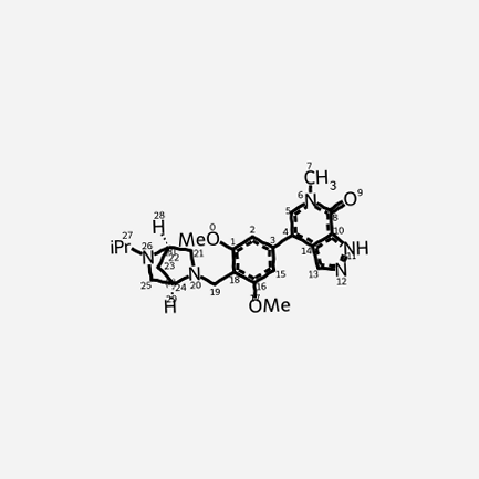 COc1cc(-c2cn(C)c(=O)c3[nH]ncc23)cc(OC)c1CN1C[C@H]2C[C@@H]1CN2C(C)C